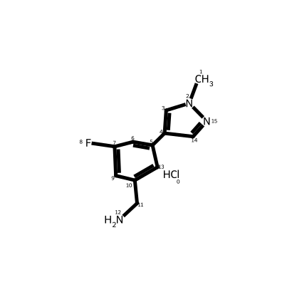 Cl.Cn1cc(-c2cc(F)cc(CN)c2)cn1